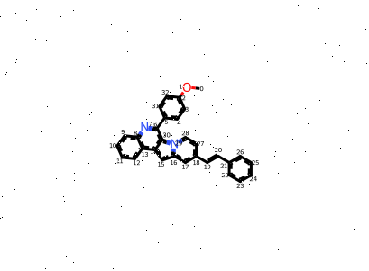 COc1ccc(-c2nc3ccccc3c3cc4cc(/C=C/c5ccccc5)ccn4c23)cc1